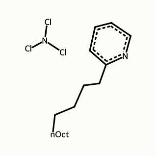 CCCCCCCCCCCCc1ccccn1.ClN(Cl)Cl